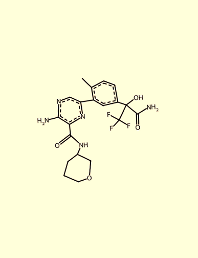 Cc1ccc(C(O)(C(N)=O)C(F)(F)F)cc1-c1cnc(N)c(C(=O)NC2CCCOC2)n1